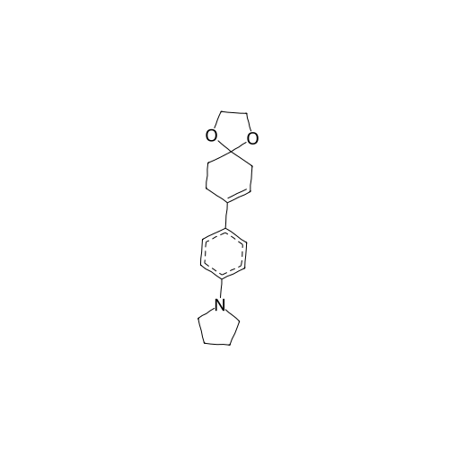 C1=C(c2ccc(N3CCCC3)cc2)CCC2(C1)OCCO2